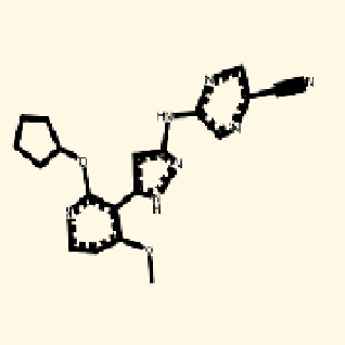 COc1ccnc(OC2CCCC2)c1-c1cc(Nc2cnc(C#N)cn2)n[nH]1